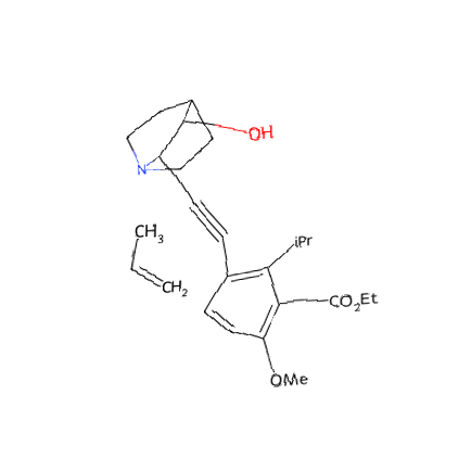 C=CC.CCOC(=O)c1c(OC)ccc(C#CC2C(O)C3CCN2CC3)c1C(C)C